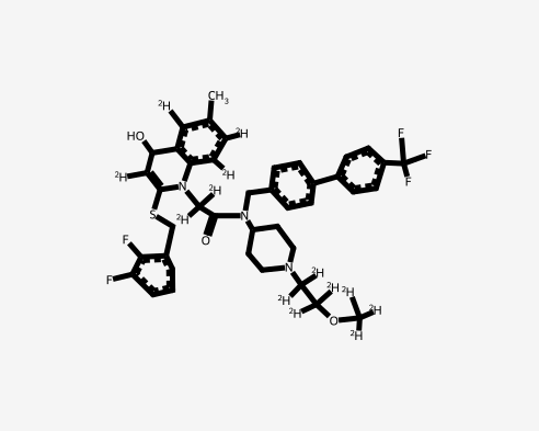 [2H]C1=C(SCc2cccc(F)c2F)N(C([2H])([2H])C(=O)N(Cc2ccc(-c3ccc(C(F)(F)F)cc3)cc2)C2CCN(C([2H])([2H])C([2H])([2H])OC([2H])([2H])[2H])CC2)c2c([2H])c([2H])c(C)c([2H])c2C1O